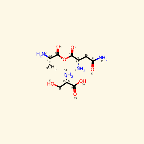 C[C@H](N)C(=O)OC(=O)[C@@H](N)CC(N)=O.N[C@@H](CO)C(=O)O